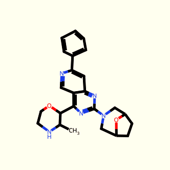 CC1NCCOC1c1nc(N2CC3CCC(C2)O3)nc2cc(-c3ccccc3)ncc12